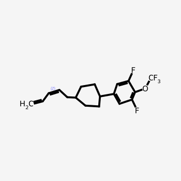 C=C/C=C\CC1CCC(c2cc(F)c(OC(F)(F)F)c(F)c2)CC1